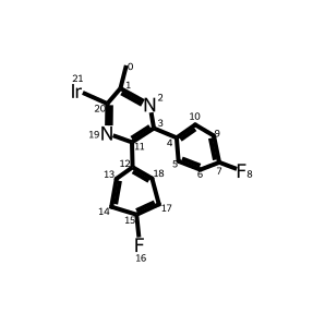 Cc1nc(-c2ccc(F)cc2)c(-c2ccc(F)cc2)n[c]1[Ir]